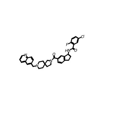 O=C(NC1CCc2ccc(C(=O)N3CCC4(CCN(Cc5ccc6ncccc6c5)CC4)C3)cc21)c1cc(Cl)ccc1F